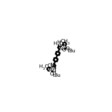 CC(C)(C)OC(=O)N1CCC(C)(C)[C@@H]1c1nc(-c2ccc(-c3ccc(-c4c[nH]c([C@@H]5N(C(=O)OC(C)(C)C)CCC5(C)C)n4)cc3)cc2)c[nH]1